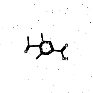 CC(=O)c1c(C)cc(C(=O)O)cc1C